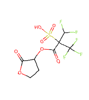 O=C1OCCC1OC(=O)C(C(F)F)(C(F)(F)F)S(=O)(=O)O